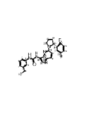 O=C(Nc1cccc(CF)c1)Nc1cnc2ccc(N3CCC[C@@H]3c3cc(F)ccc3F)nn12